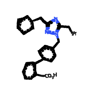 CC(C)Cc1nc(Cc2ccccc2)nn1Cc1ccc(-c2ccccc2C(=O)O)cc1